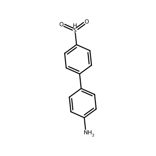 Nc1ccc(-c2ccc([SH](=O)=O)cc2)cc1